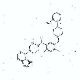 Cc1cc(C)c(C(=O)N2CCN(c3nccc4cn[nH]c34)C[C@@H]2C)cc1CN1CCN(c2ccccc2C#N)CC1